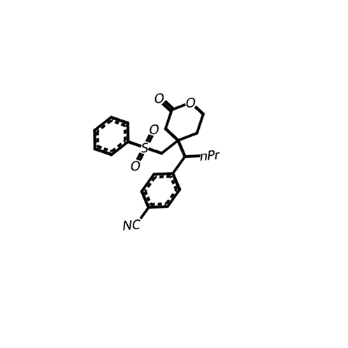 CCCC(c1ccc(C#N)cc1)C1(CS(=O)(=O)c2ccccc2)CCOC(=O)C1